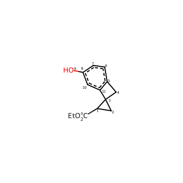 CCOC(=O)C1CC12Cc1ccc(O)cc12